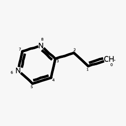 [CH]=CCc1ccncn1